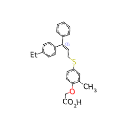 CCc1ccc(/C(=C\CSc2ccc(OCC(=O)O)c(C)c2)c2ccccc2)cc1